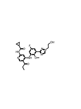 CCC(=O)c1cnc(NC(=O)C2CC2)cc1Nc1cc(F)cc(-c2ncn(CCO)n2)c1OC